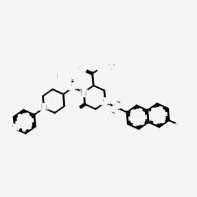 COC(=O)C1CN(S(=O)(=O)c2ccc3cc(Cl)ccc3c2)CC(=O)N1N(C)C1CCN(c2ccncc2)CC1